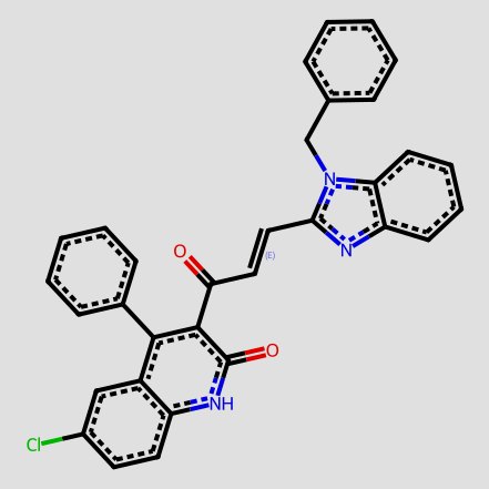 O=C(/C=C/c1nc2ccccc2n1Cc1ccccc1)c1c(-c2ccccc2)c2cc(Cl)ccc2[nH]c1=O